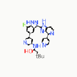 CC(C)(C)CC(O)Nc1cncc(-c2cc(F)c3[nH]nc(-c4nc5c(-c6ccncc6)nccc5[nH]4)c3c2)c1